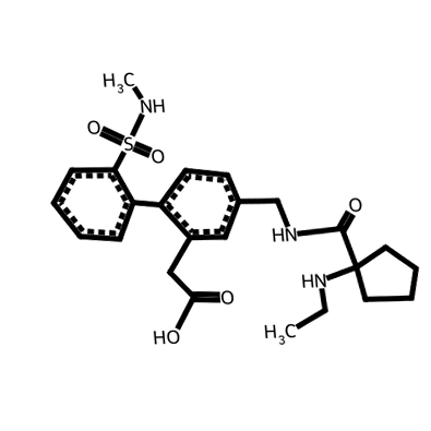 CCNC1(C(=O)NCc2ccc(-c3ccccc3S(=O)(=O)NC)c(CC(=O)O)c2)CCCC1